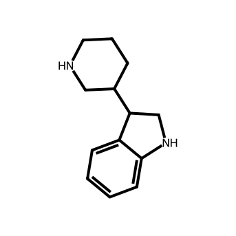 c1ccc2c(c1)NCC2C1CCCNC1